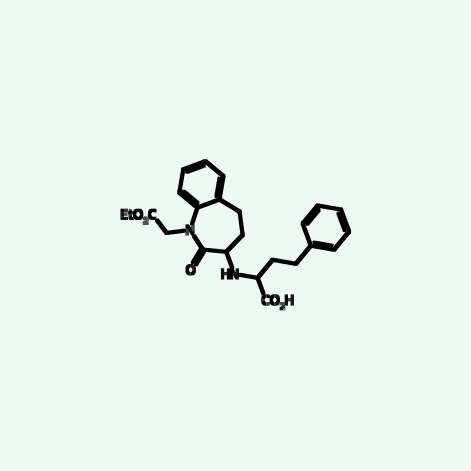 CCOC(=O)CN1C(=O)C(NC(CCc2ccccc2)C(=O)O)CCc2ccccc21